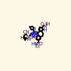 CCNC(=O)c1ccc2c(c1)CCc1cc(C(=O)NCC)ccc1C2(C[C@H](NCC(=O)N1C(C#N)C[C@@H]2C[C@@H]21)C1CCCC1)c1nnn[nH]1